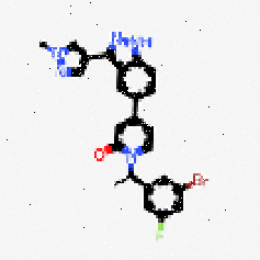 C[C@H](c1cc(F)cc(Br)c1)n1ccc(-c2ccc3[nH]nc(-c4cnn(C)c4)c3c2)cc1=O